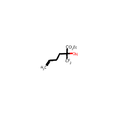 C=CCCC(O)(C(=O)OCC)C(F)(F)F